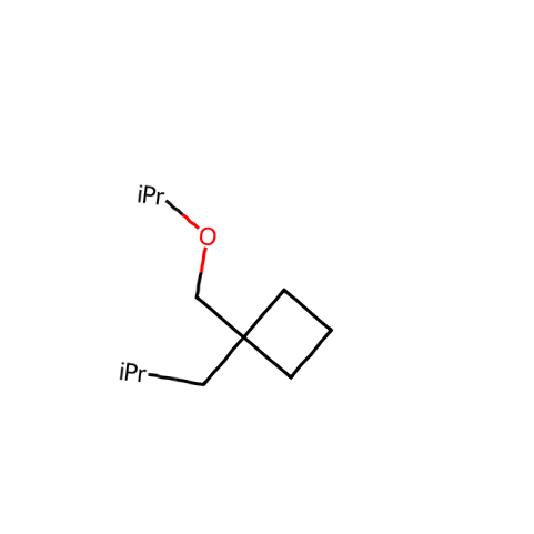 CC(C)CC1(COC(C)C)CCC1